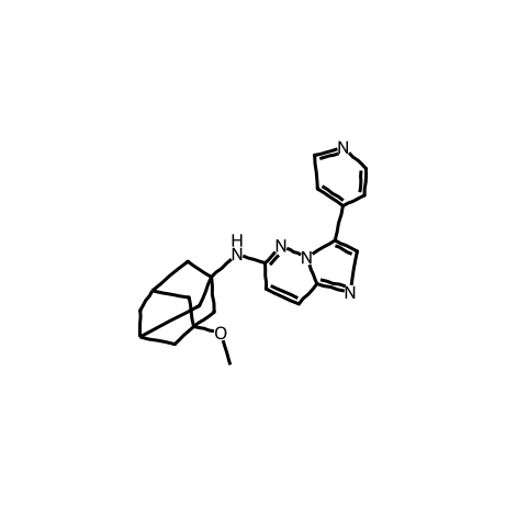 COC12CC3CC(CC(Nc4ccc5ncc(-c6ccncc6)n5n4)(C3)C1)C2